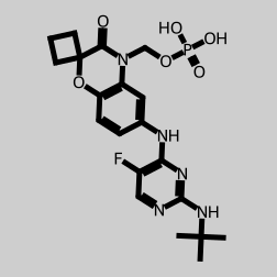 CC(C)(C)Nc1ncc(F)c(Nc2ccc3c(c2)N(COP(=O)(O)O)C(=O)C2(CCC2)O3)n1